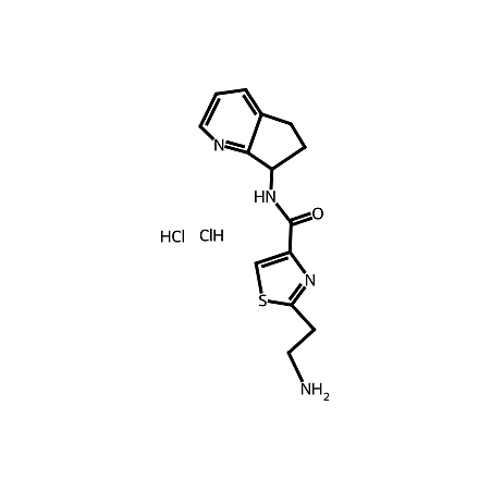 Cl.Cl.NCCc1nc(C(=O)NC2CCc3cccnc32)cs1